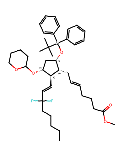 CCCCCC(F)(F)C=C[C@@H]1[C@@H](CC=CCCCC(=O)OC)[C@@H](O[Si](c2ccccc2)(c2ccccc2)C(C)(C)C)C[C@H]1OC1CCCCO1